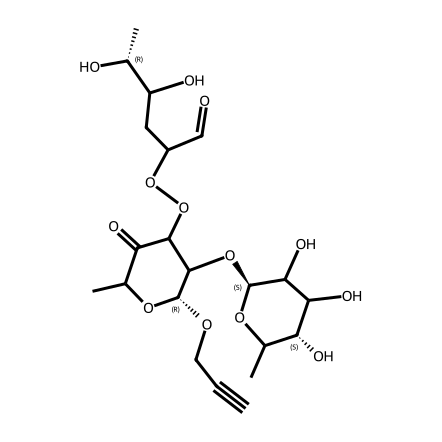 C#CCO[C@@H]1OC(C)C(=O)C(OOC(C=O)CC(O)[C@@H](C)O)C1O[C@@H]1OC(C)[C@@H](O)C(O)C1O